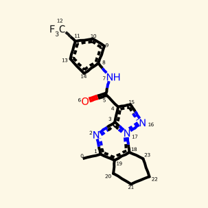 Cc1nc2c(C(=O)Nc3ccc(C(F)(F)F)cc3)cnn2c2c1CCCC2